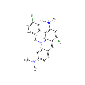 CN(C)c1ccc2cc3ccc(N(C)C)cc3[n+](Cc3ccc(F)cc3)c2c1.[Br-]